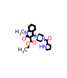 CCOC(=O)c1c(N2CCN(C(=O)C3CCCN3)CC2)c2ccccc2n(C)c1=O